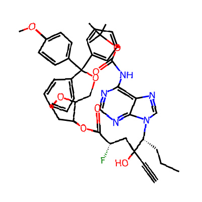 C#CC(O)(C[C@H](F)C(=O)OC1CCOC1COC(c1ccccc1)(c1ccccc1)c1ccc(OC)cc1)[C@@H](CCC)n1cnc2c(NC(=O)OC(C)(C)C)ncnc21